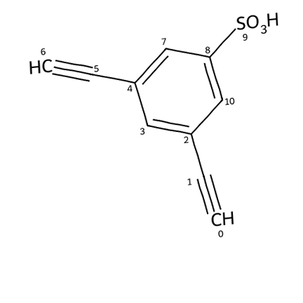 C#Cc1cc(C#C)cc(S(=O)(=O)O)c1